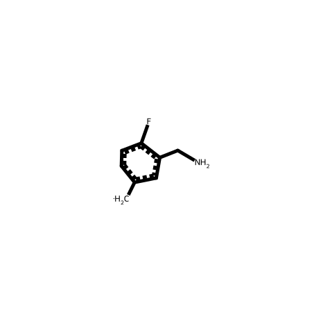 [CH2]c1ccc(F)c(CN)c1